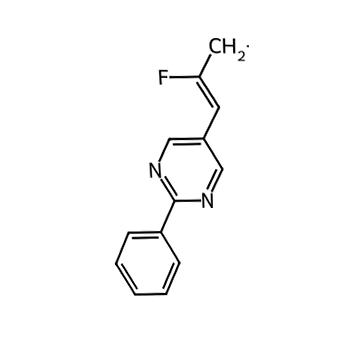 [CH2]/C(F)=C/c1cnc(-c2ccccc2)nc1